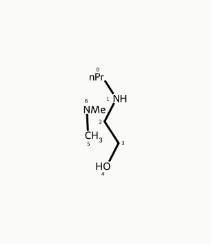 CCCNCCO.CNC